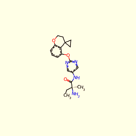 CC[C@](C)(N)C(=O)Nc1cnc(Oc2cccc3c2C2(CCO3)CC2)nc1